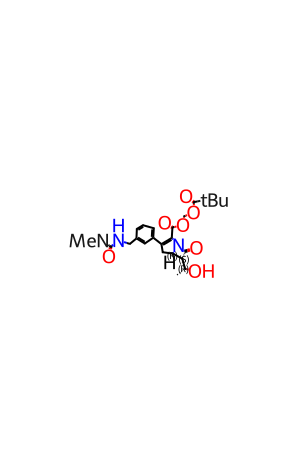 CNC(=O)NCc1cccc(C2=C(C(=O)OCOC(=O)C(C)(C)C)N3C(=O)[C@H]([C@@H](C)O)[C@H]3C2)c1